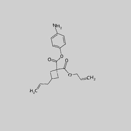 C=CCOC(=O)C1(C(=O)Oc2ccc(N)cc2)CC(CC=C)C1